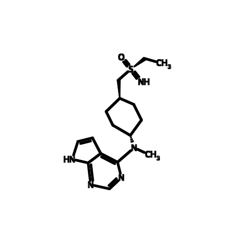 CC[S@](=N)(=O)C[C@H]1CC[C@H](N(C)c2ncnc3[nH]ccc23)CC1